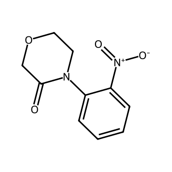 O=C1COCCN1c1ccccc1[N+](=O)[O-]